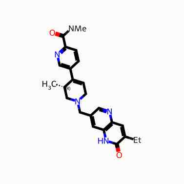 CCc1cc2ncc(CN3CC=C(c4ccc(C(=O)NC)nc4)[C@@H](C)C3)cc2[nH]c1=O